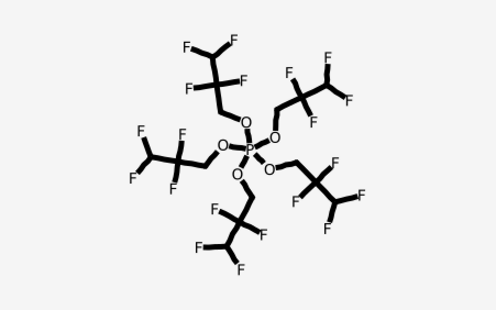 FC(F)C(F)(F)COP(OCC(F)(F)C(F)F)(OCC(F)(F)C(F)F)(OCC(F)(F)C(F)F)OCC(F)(F)C(F)F